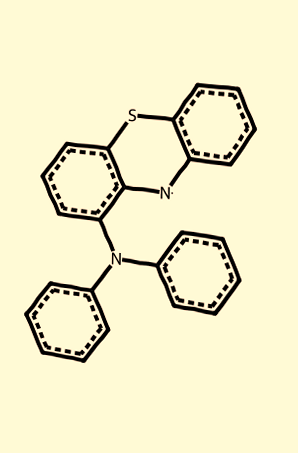 c1ccc(N(c2ccccc2)c2cccc3c2[N]c2ccccc2S3)cc1